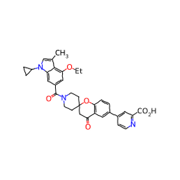 CCOc1cc(C(=O)N2CCC3(CC2)CC(=O)c2cc(-c4ccnc(C(=O)O)c4)ccc2O3)cc2c1c(C)cn2C1CC1